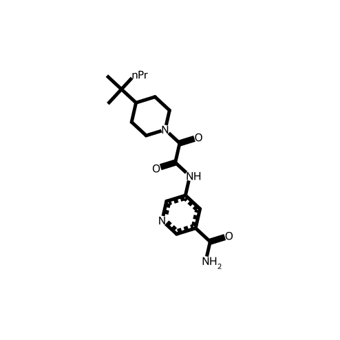 CCCC(C)(C)C1CCN(C(=O)C(=O)Nc2cncc(C(N)=O)c2)CC1